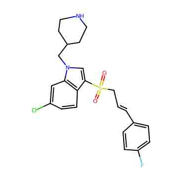 O=S(=O)(CC=Cc1ccc(F)cc1)c1cn(CC2CCNCC2)c2cc(Cl)ccc12